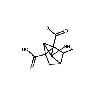 CC1C2CC3(C(=O)O)C1C3C2(N)C(=O)O